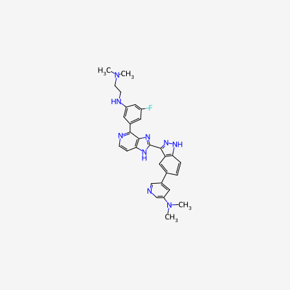 CN(C)CCNc1cc(F)cc(-c2nccc3[nH]c(-c4n[nH]c5ccc(-c6cncc(N(C)C)c6)cc45)nc23)c1